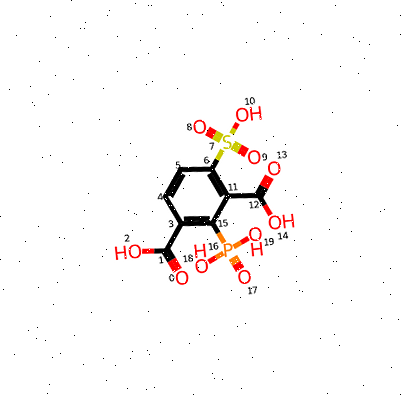 O=C(O)c1ccc(S(=O)(=O)O)c(C(=O)O)c1P(=O)(O)O